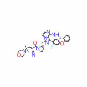 CC(C)(C=C(C#N)C(=O)N1CCC[C@H]1Cc1nc(-c2ccc(Oc3ccccc3)cc2F)c2c(N)nccn12)N1CCOCC1